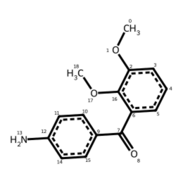 COc1cccc(C(=O)c2ccc(N)cc2)c1OC